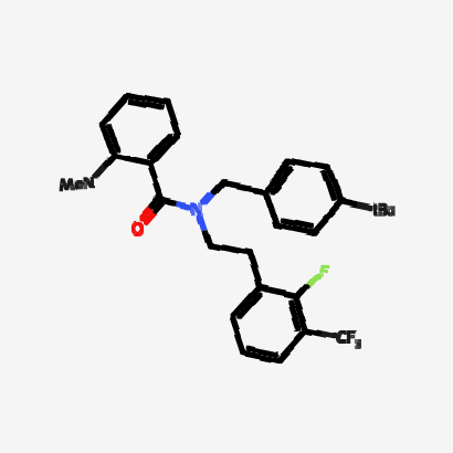 CNc1ccccc1C(=O)N(CCc1cccc(C(F)(F)F)c1F)Cc1ccc(C(C)(C)C)cc1